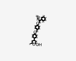 CCCC(CC(=O)O)c1ccc(OCc2ccc(OCC(=NOC)c3ccccc3)cc2)cc1